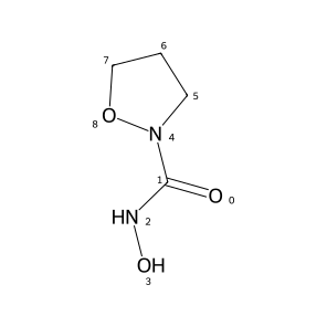 O=C(NO)N1CCCO1